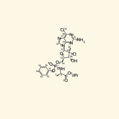 CC(C)OC(=O)[C@@H](C)NP(=O)(OC[C@H]1O[C@@H](n2cnc3c(Cl)nc(N)nc32)[C@](C)(Cl)[C@@H]1O)Oc1ccccc1